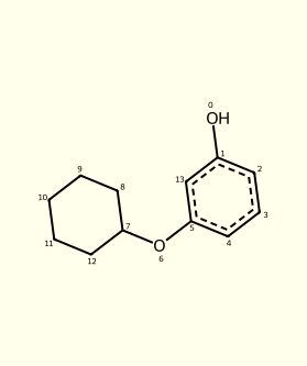 Oc1cccc(OC2CCCCC2)c1